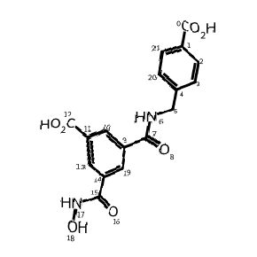 O=C(O)c1ccc(CNC(=O)c2cc(C(=O)O)cc(C(=O)NO)c2)cc1